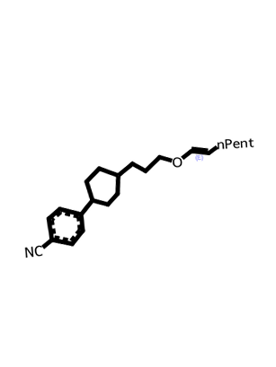 CCCCC/C=C/OCCCC1CCC(c2ccc(C#N)cc2)CC1